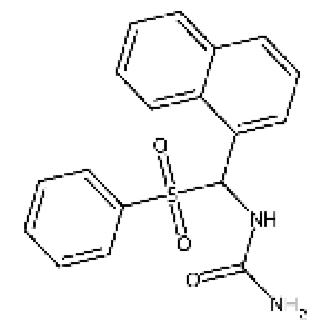 NC(=O)NC(c1cccc2ccccc12)S(=O)(=O)c1ccccc1